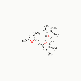 C=C1C[C@H](CCCC)O[C@H]1CCC1C[C@@H](C)C(=C)[C@@H](C[C@@H]2O[C@H](C[C@H](C)CC)[C@H](C)[C@H]2CC)O1